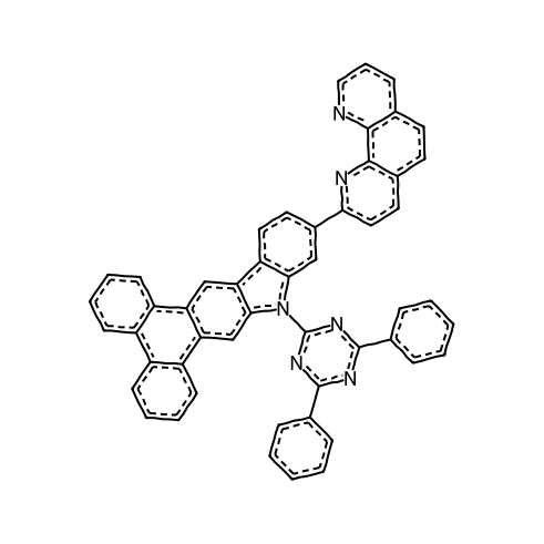 c1ccc(-c2nc(-c3ccccc3)nc(-n3c4cc(-c5ccc6ccc7cccnc7c6n5)ccc4c4cc5c6ccccc6c6ccccc6c5cc43)n2)cc1